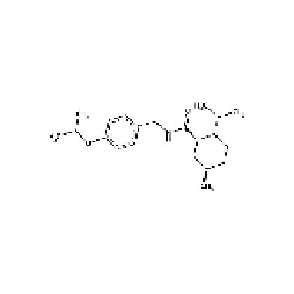 CC(C)Oc1ccc(CNC(=O)[C@@H]2C[C@H](C)CC[C@H]2C(C)C)cc1